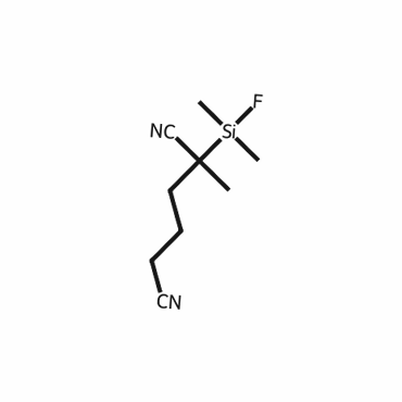 CC(C#N)(CCCC#N)[Si](C)(C)F